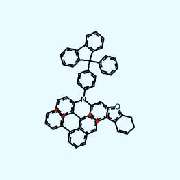 C1=Cc2c(oc3cc(N(c4ccc(C5(c6ccccc6)c6ccccc6-c6ccccc65)cc4)c4ccccc4-c4cccc5cccc(-c6ccccc6)c45)ccc23)CC1